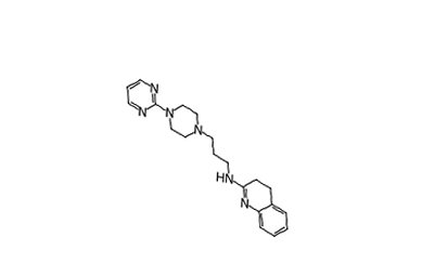 c1cnc(N2CCN(CCCNC3=Nc4ccccc4CC3)CC2)nc1